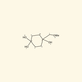 COCC1(O)CCC(O)(O)CC1